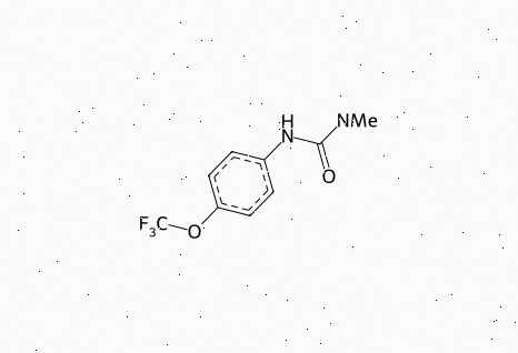 CNC(=O)Nc1ccc(OC(F)(F)F)cc1